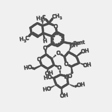 CCCCCc1cc(O[C@@H]2O[C@H](CO)[C@@H](O)[C@H](O[C@@H]3O[C@H](CO)[C@@H](O)[C@H](O)[C@H]3O)[C@H]2O[C@@H]2O[C@H](CO)[C@@H](O)[C@H](O)[C@H]2O)c2c(c1)OC(C)(C)[C@@H]1CCC(C)=C[C@@H]21